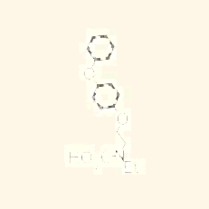 CCN(CCOc1ccc(Oc2ccccc2)cc1)C(=O)O